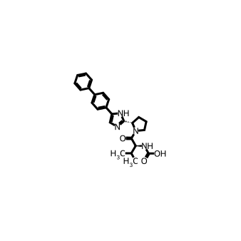 CC(C)[C@H](NC(=O)O)C(=O)N1CCC[C@H]1c1ncc(-c2ccc(-c3ccccc3)cc2)[nH]1